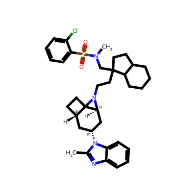 Cc1nc2ccccc2n1[C@@H]1C[C@@H]2CCC23[C@H](C1)N3CCC1(CN(C)S(=O)(=O)c2ccccc2Cl)CCC2CCCCC21